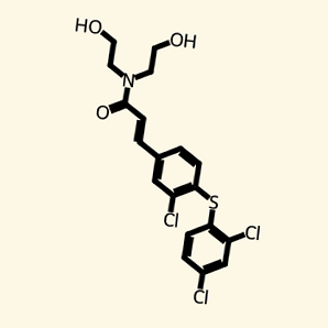 O=C(C=Cc1ccc(Sc2ccc(Cl)cc2Cl)c(Cl)c1)N(CCO)CCO